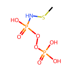 CSNP(=O)(O)OOP(=O)(O)O